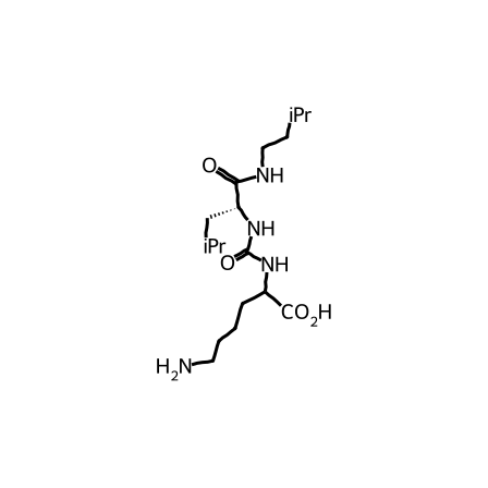 CC(C)CCNC(=O)[C@@H](CC(C)C)NC(=O)NC(CCCCN)C(=O)O